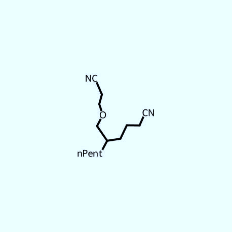 CCCCCC(CCCC#N)COCCC#N